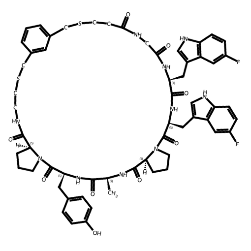 C[C@@H]1NC(=O)[C@@H]2CCCN2C(=O)[C@H](Cc2c[nH]c3ccc(F)cc23)NC(=O)[C@H](Cc2c[nH]c3ccc(F)cc23)NC(=O)CNC(=O)CCSCc2cccc(c2)CSCCNC(=O)[C@@H]2CCCN2C(=O)[C@H](Cc2ccc(O)cc2)NC1=O